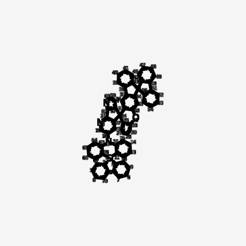 c1ccc([Si]2(c3ccccc3)c3ccccc3N(c3cnc4c(c3)C3(c5ccccc5Oc5cc6c(cc53)-c3ccccc3C63c5ccccc5-c5ccccc53)c3cccnc3-4)c3ccccc32)cc1